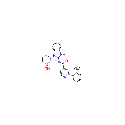 COc1ccccc1-c1cc(C(=O)/N=c2\[nH]c3ccccc3n2[C@H]2CCC[C@H](O)C2)ccn1